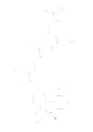 Cc1ccc(OC(=O)N(C)CCNC(=O)[C@H](CCCNC(=N)N)NC(=O)CN)c2c1[C@]13CCN(C)[C@H](C)C1C=CC(O)[C@@H]3O2